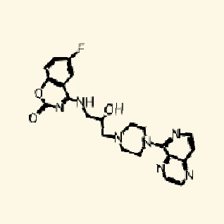 O=c1nc(NCC(O)CN2CCN(c3nccc4nccnc34)CC2)c2cc(F)ccc2o1